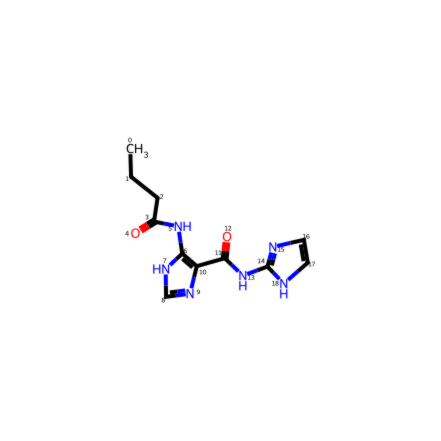 CCCC(=O)Nc1[nH]cnc1C(=O)Nc1ncc[nH]1